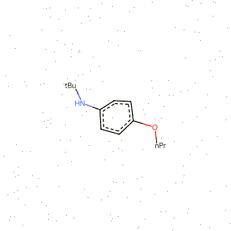 CCCOc1ccc(NC(C)(C)C)cc1